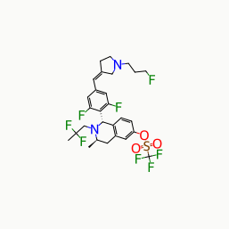 C[C@@H]1Cc2cc(OS(=O)(=O)C(F)(F)F)ccc2[C@@H](c2c(F)cc(C=C3CCN(CCCF)C3)cc2F)N1CC(C)(F)F